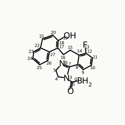 BC(=O)N1CCN=C1c1cccc(F)c1CCc1c(O)ccc2ccccc12